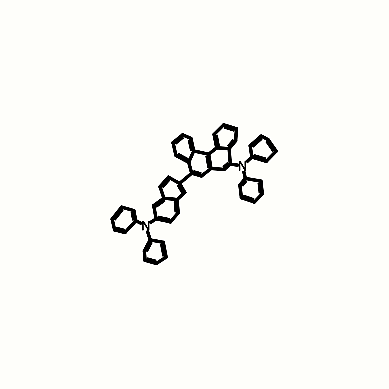 c1ccc(N(c2ccccc2)c2ccc3cc(-c4cc5cc(N(c6ccccc6)c6ccccc6)c6ccccc6c5c5ccccc45)ccc3c2)cc1